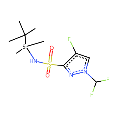 CC(C)(C)[Si](C)(C)NS(=O)(=O)c1nn(C(F)F)cc1F